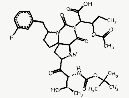 CCC(OC(C)=O)C(C(=O)O)N(C(=O)C1CCC(C(=O)[C@H](NC(=O)OC(C)(C)C)[C@@H](C)O)N1)C(=O)N1CCCC1Cc1cccc(F)c1